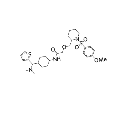 COc1ccc(S(=O)(=O)N2CCCCC2COCC(=O)NC2CCC(C(c3cccs3)N(C)C)CC2)cc1